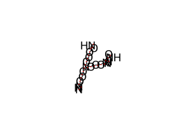 CNC(=O)CCOCCOCCOCCN(CCOCCOCCOCCn1cc(C)nn1)CCOCCOCCOCCn1cc(CNC(C)=O)nn1